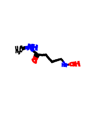 CNC(=O)CCCNO